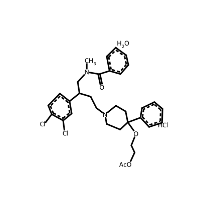 CC(=O)OCCOC1(c2ccccc2)CCN(CCC(CN(C)C(=O)c2ccccc2)c2ccc(Cl)c(Cl)c2)CC1.Cl.O